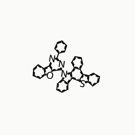 c1ccc(-c2nc(-n3c4ccccc4c4c5sc6ccccc6c5c5ccccc5c43)c3oc4ccccc4c3n2)cc1